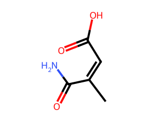 CC(=CC(=O)O)C(N)=O